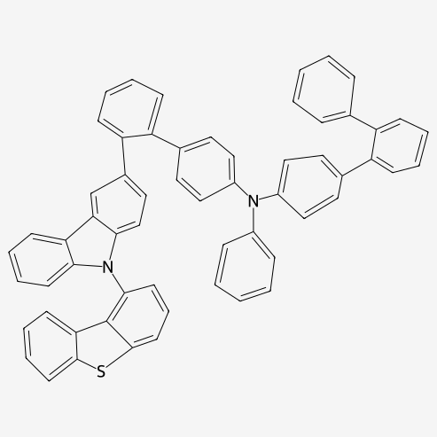 c1ccc(-c2ccccc2-c2ccc(N(c3ccccc3)c3ccc(-c4ccccc4-c4ccc5c(c4)c4ccccc4n5-c4cccc5sc6ccccc6c45)cc3)cc2)cc1